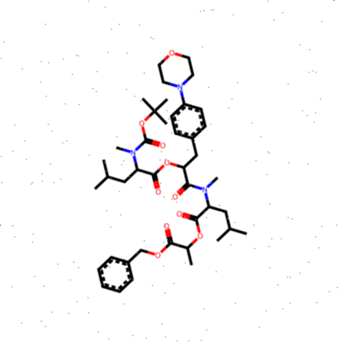 CC(C)CC(C(=O)OC(Cc1ccc(N2CCOCC2)cc1)C(=O)N(C)C(CC(C)C)C(=O)OC(C)C(=O)OCc1ccccc1)N(C)C(=O)OC(C)(C)C